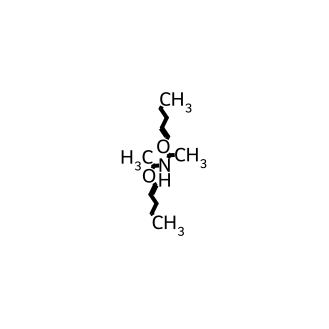 CCCC=COC(C)NC(C)OC=CCCC